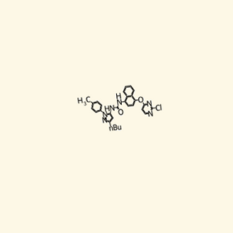 CCCCc1cc(NC(=O)Nc2ccc(Oc3ccnc(Cl)n3)c3ccccc23)n(-c2ccc(C)cc2)n1